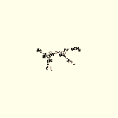 C=COCCCCOC(=O)CC(/C=C/OCCOC(=O)c1cc(C(=O)OCCOC=C)cc(C(=O)OCCOC=C)c1)C(=O)OCCCCOC=C